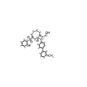 Cc1cccc(-c2ccc([C@@H]3[C@H](CO)N4CCCCN(S(=O)(=O)c5ccccc5F)C[C@@H]34)cc2)c1